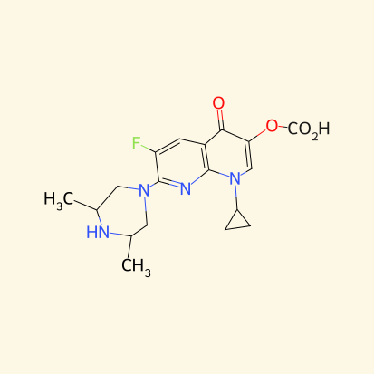 CC1CN(c2nc3c(cc2F)c(=O)c(OC(=O)O)cn3C2CC2)CC(C)N1